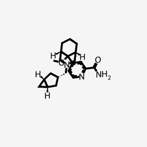 COC1(c2ccnc(C(N)=O)c2)[C@@H]2CCC[C@H]1CN(C[C@@H]1C[C@@H]3C[C@@H]3C1)C2